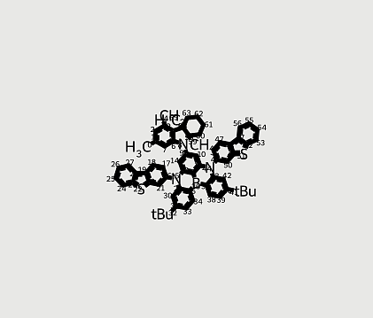 Cc1cc(C)c2c(c1)N(c1cc3c4c(c1)N(c1ccc5c(c1)sc1ccccc15)c1cc(C(C)(C)C)ccc1B4c1ccc(C(C)(C)C)cc1N3c1ccc3c(c1)sc1ccccc13)C1(C)CCCCC21C